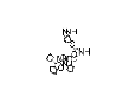 COC(=O)N(C(=O)[C@@H](N)C(c1ccccc1)c1ccccc1)c1ccccc1CC[C@@H]1CNC[C@@H](COc2ccc3cn[nH]c3c2)O1